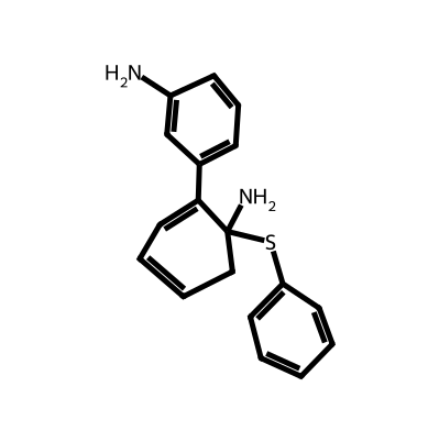 Nc1cccc(C2=CC=CCC2(N)Sc2ccccc2)c1